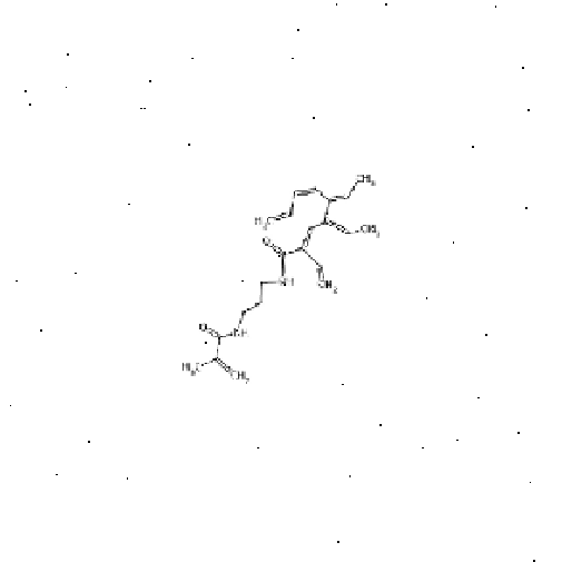 C=C\C=C/C(=C\C)C(=C\C)/C=C(\C=C)C(=O)NCCCNC(=O)C(=C)C